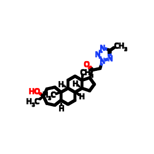 Cc1nnn(CC(=O)[C@H]2CC[C@H]3[C@@H]4CC[C@H]5CC[C@](C)(O)CC[C@]5(C)[C@H]4CC[C@]23C)n1